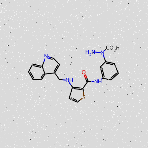 NN(C(=O)O)c1cccc(NC(=O)c2sccc2NCc2ccnc3ccccc23)c1